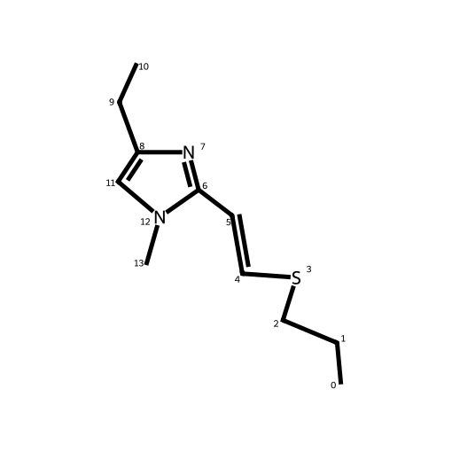 CCCSC=Cc1nc(CC)cn1C